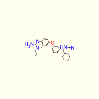 CCCN1Cc2cc(Oc3cccc(C(NC#N)C4CCCCC4)c3)ccc2N=C1N